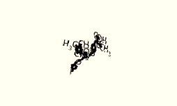 CCOC(Cc1ccc(OCCN(CCCCOCc2ccc(F)cc2)C(=O)Oc2cc(C)c(C)cc2C)cc1)C(=O)O